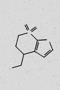 Cl.NCC1CCS(=O)(=O)c2sccc21